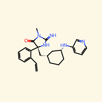 C=Cc1ccccc1[C@@]1(C[C@H]2CCC[C@@H](Nc3cccnc3)C2)NC(=N)N(C)C1=O